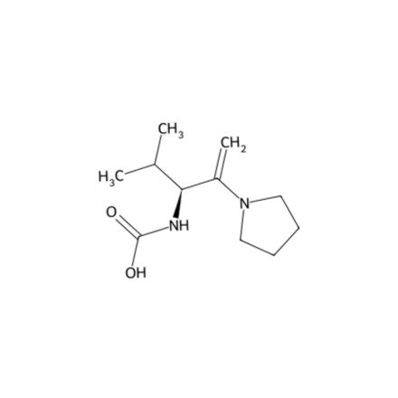 C=C([C@@H](NC(=O)O)C(C)C)N1CCCC1